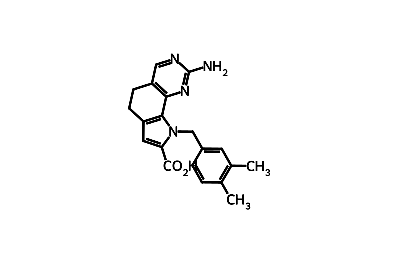 Cc1ccc(Cn2c(C(=O)O)cc3c2-c2nc(N)ncc2CC3)cc1C